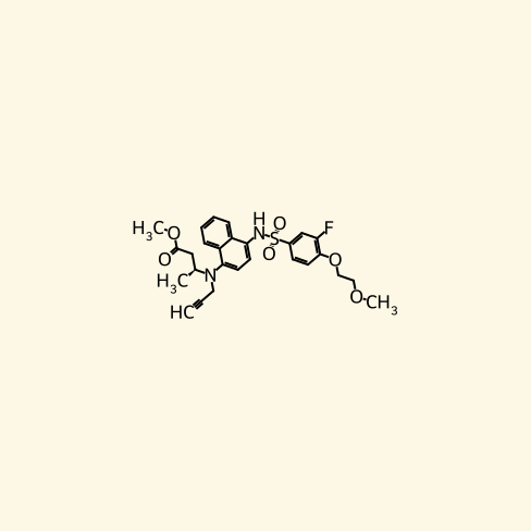 C#CCN(c1ccc(NS(=O)(=O)c2ccc(OCCOC)c(F)c2)c2ccccc12)[C@@H](C)CC(=O)OC